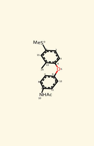 CSc1ccc(Oc2ccc(NC(C)=O)cc2)c(C)c1